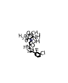 CN1C(=N)/C(=C(\O)CC(=O)Nc2nc(-c3cccc(Cl)c3F)cs2)C(=O)N(C)C1=O